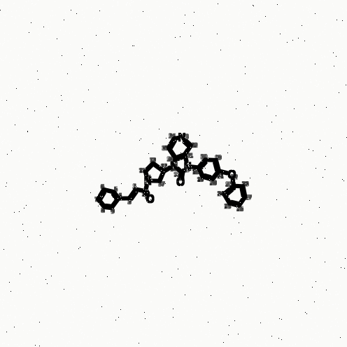 O=C(C=Cc1ccccc1)N1CCC(n2c(=O)n(-c3ccc(Oc4ccccc4)cc3)c3cnccc32)C1